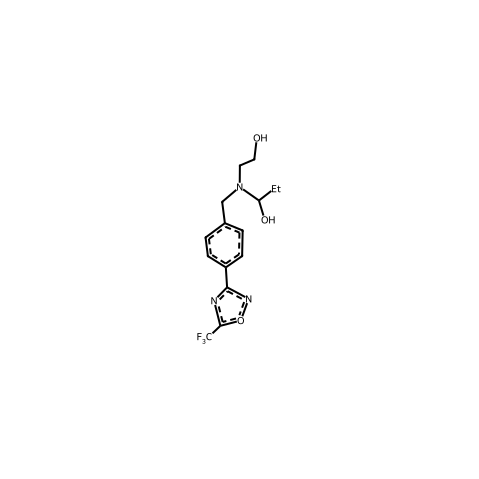 CCC(O)N(CCO)Cc1ccc(-c2noc(C(F)(F)F)n2)cc1